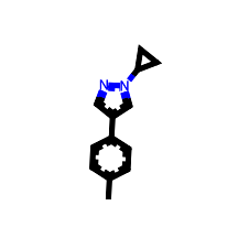 Cc1ccc(-c2cnn(C3CC3)c2)cc1